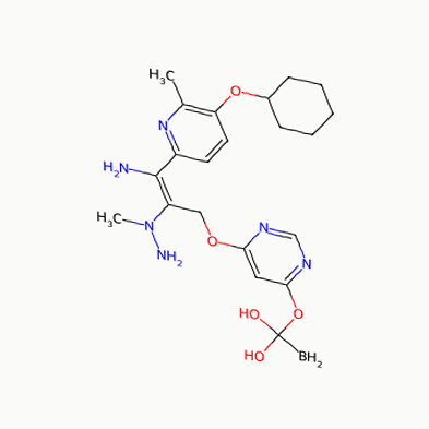 BC(O)(O)Oc1cc(OC/C(=C(/N)c2ccc(OC3CCCCC3)c(C)n2)N(C)N)ncn1